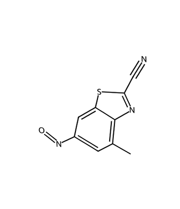 Cc1cc(N=O)cc2sc(C#N)nc12